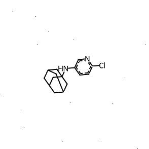 Clc1ccc(NC23CC4CC(CC(C4)C2)C3)cn1